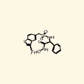 O=C(NO)C(NS(=O)(=O)Cc1ccc2scc(F)c2c1)c1ccccc1